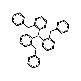 c1ccc(Cc2ccccc2P(c2ccccc2Cc2ccccc2)c2ccccc2Cc2ccccc2)cc1